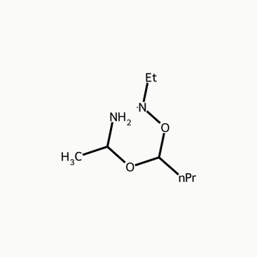 CCCC(O[N]CC)OC(C)N